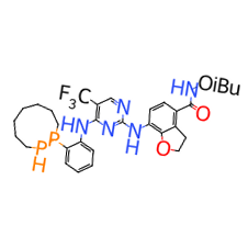 CC(C)CONC(=O)c1ccc(Nc2ncc(C(F)(F)F)c(Nc3ccccc3P3CCCCCCCP3)n2)c2c1CCO2